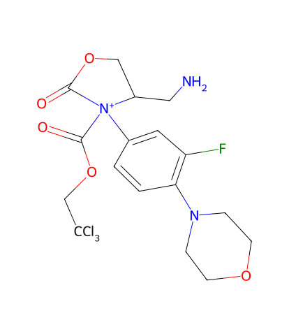 NCC1COC(=O)[N+]1(C(=O)OCC(Cl)(Cl)Cl)c1ccc(N2CCOCC2)c(F)c1